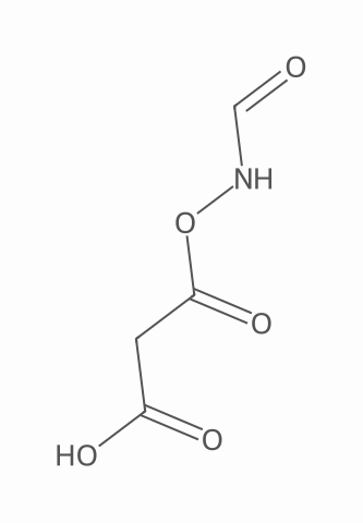 O=CNOC(=O)CC(=O)O